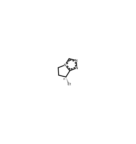 CC[C@@H]1CCn2cnnc21